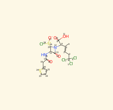 CC(=CCC(Cl)(Cl)Cl)C(C(=O)O)N1C(=O)C(NC(=O)Cc2cccs2)C1[S+]([O-])Cl